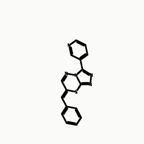 C1=Nn2c(nnc2-c2cccnc2)S/C1=C\c1ccccc1